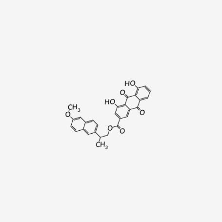 COc1ccc2cc(C(C)COC(=O)c3cc(O)c4c(c3)C(=O)c3cccc(O)c3C4=O)ccc2c1